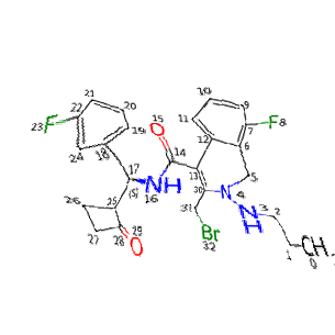 CCCNN1Cc2c(F)cccc2C(C(=O)N[C@H](c2cccc(F)c2)C2CCC2=O)=C1CBr